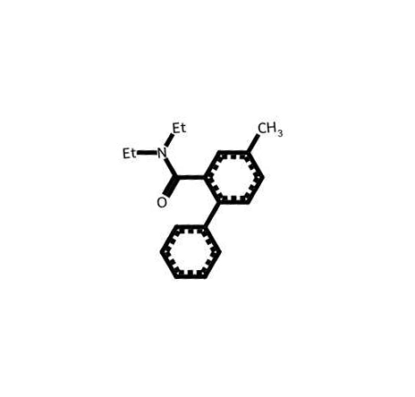 CCN(CC)C(=O)c1cc(C)ccc1-c1ccccc1